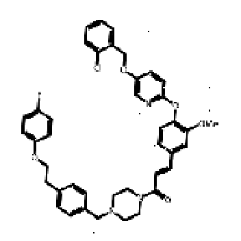 COc1cc(/C=C/C(=O)N2CCN(Cc3ccc(CCOc4ccc(F)cc4)cc3)CC2)ccc1Oc1ccc(OCc2ccccc2Cl)cn1